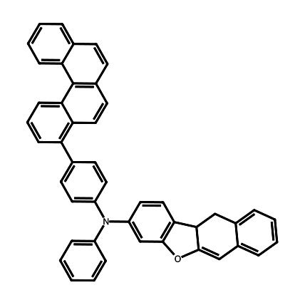 C1=C2Oc3cc(N(c4ccccc4)c4ccc(-c5cccc6c5ccc5ccc7ccccc7c56)cc4)ccc3C2Cc2ccccc21